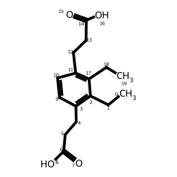 CCc1c(CCC(=O)O)ccc(CCC(=O)O)c1CC